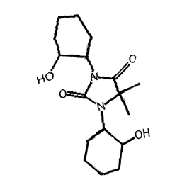 CC1(C)C(=O)N(C2CCCCC2O)C(=O)N1C1CCCCC1O